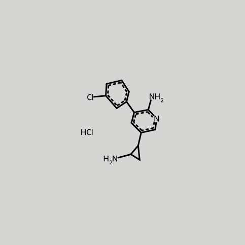 Cl.Nc1ncc(C2CC2N)cc1-c1cccc(Cl)c1